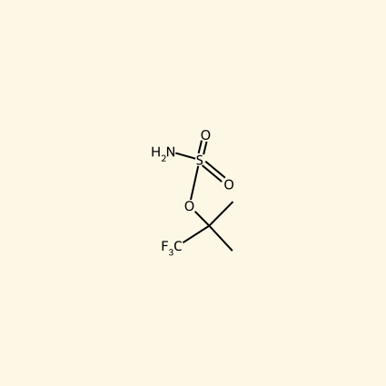 CC(C)(OS(N)(=O)=O)C(F)(F)F